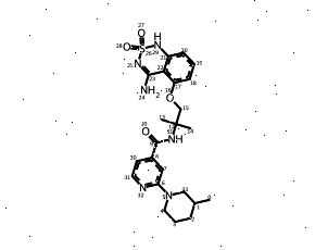 CC1CCCN(c2cc(C(=O)NC(C)(C)COc3cccc4c3C(N)=NS(=O)(=O)N4)ccn2)C1